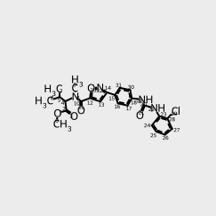 COC(=O)C(C(C)C)N(C)C(=O)c1cc(-c2ccc(NC(=O)Nc3ccccc3Cl)cc2)no1